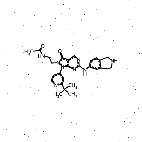 CC(=O)NCCn1c(=O)c2cnc(Nc3ccc4c(c3)CCNC4)nc2n1-c1ccnc(C(C)(C)C)c1